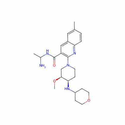 CO[C@H]1CN(c2nc3ccc(C)cc3cc2C(=O)NC(C)N)CC[C@H]1NC1CCOCC1